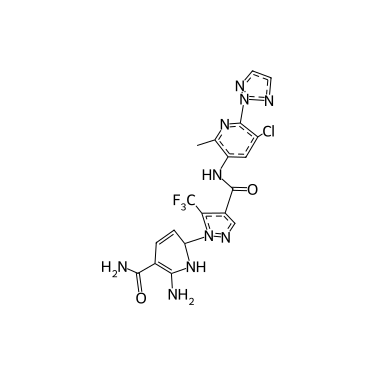 Cc1nc(-n2nccn2)c(Cl)cc1NC(=O)c1cnn(C2C=CC(C(N)=O)=C(N)N2)c1C(F)(F)F